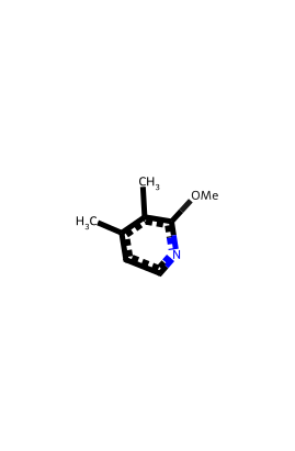 COc1nccc(C)c1C